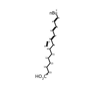 C=C.CCCCC=CC=CC=CCCCCCCCC(=O)O